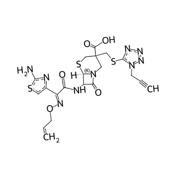 C#CCn1nnnc1SCC1(C(=O)O)CS[C@@H]2C(NC(=O)C(=NOCC=C)c3csc(N)n3)C(=O)N2C1